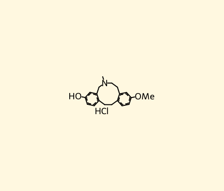 COc1ccc2c(c1)CCN(C)Cc1cc(O)ccc1CC2.Cl